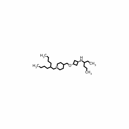 CCCCC(CCCC)CN1CCC(CO[C@H]2C[C@H](NC(CC)CCC)C2)CC1